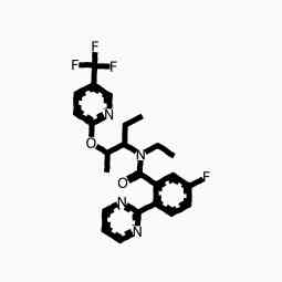 CCC(C(C)Oc1ccc(C(F)(F)F)cn1)N(CC)C(=O)c1cc(F)ccc1-c1ncccn1